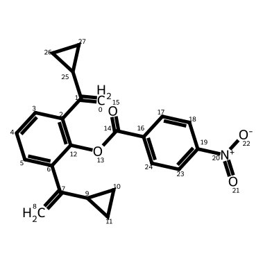 C=C(c1cccc(C(=C)C2CC2)c1OC(=O)c1ccc([N+](=O)[O-])cc1)C1CC1